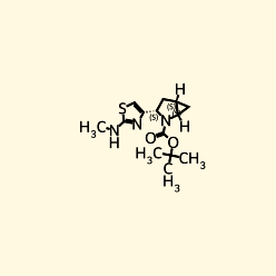 CNc1nc([C@@H]2C[C@@H]3C[C@@H]3N2C(=O)OC(C)(C)C)cs1